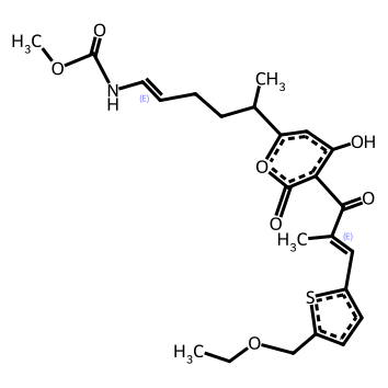 CCOCc1ccc(/C=C(\C)C(=O)c2c(O)cc(C(C)CC/C=C/NC(=O)OC)oc2=O)s1